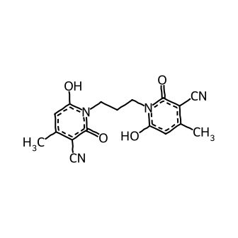 Cc1cc(O)n(CCCn2c(O)cc(C)c(C#N)c2=O)c(=O)c1C#N